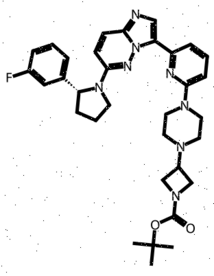 CC(C)(C)OC(=O)N1CC(N2CCN(c3cccc(-c4cnc5ccc(N6CCC[C@@H]6c6cccc(F)c6)nn45)n3)CC2)C1